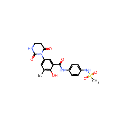 CCc1cc(N2C(=O)CCNC2=O)cc(C(=O)Nc2ccc(NS(C)(=O)=O)cc2)c1O